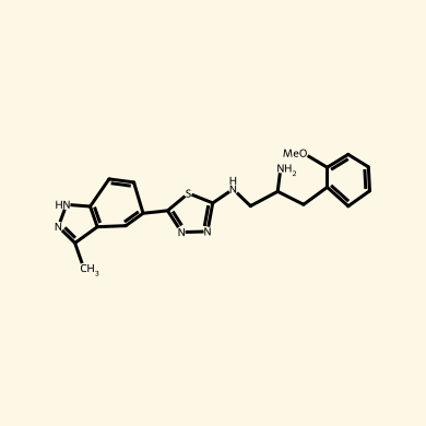 COc1ccccc1CC(N)CNc1nnc(-c2ccc3[nH]nc(C)c3c2)s1